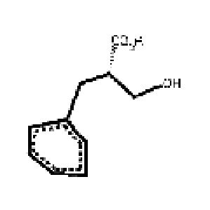 O=C(O)[C@H](CO)Cc1ccccc1